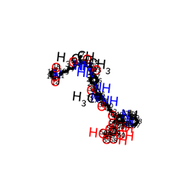 CC(C)[C@H](NC(=O)CCCCCN1C(=O)C=CC1=O)C(=O)N[C@@H](C)C(=O)Nc1ccc(NC(=O)c2cc(NC(=O)CCCOc3cc4c(cc3O[C@@H]3O[C@H](C(=O)O)[C@@H](O)[C@H](O)[C@H]3O)C(=O)N3CCCC[C@H]3C=N4)cn2C)cc1